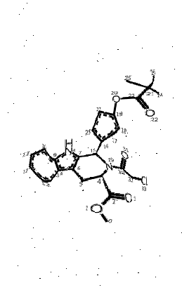 COC(=O)[C@H]1Cc2c([nH]c3ccccc23)[C@@H](c2ccc(OC(=O)C(C)(C)C)cc2)N1C(=O)CCl